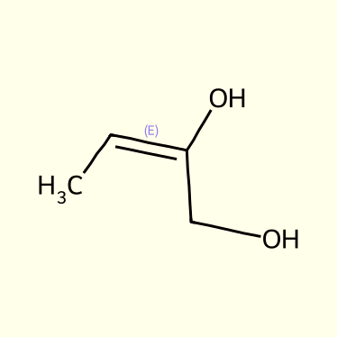 C/C=C(/O)CO